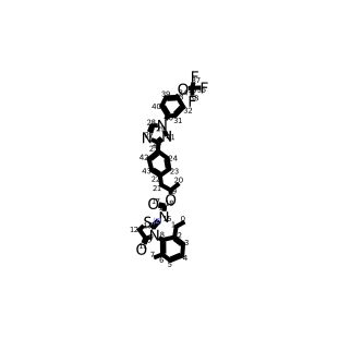 CCc1cccc(C)c1N1C(=O)CS/C1=N\C(=O)OC(C)Cc1ccc(-c2ncn(-c3ccc(OC(F)(F)F)cc3)n2)cc1